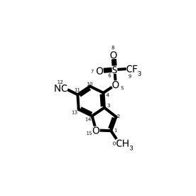 Cc1cc2c(OS(=O)(=O)C(F)(F)F)cc(C#N)cc2o1